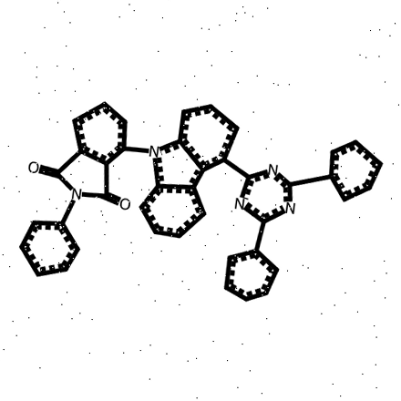 O=C1c2cccc(-n3c4ccccc4c4c(-c5nc(-c6ccccc6)nc(-c6ccccc6)n5)cccc43)c2C(=O)N1c1ccccc1